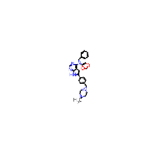 CN1CCN(Cc2ccc(-c3cc4c(N(Cc5ccccc5)C5=COCO5)ncnc4[nH]3)cc2)CC1